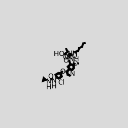 CCCCCCOP(=O)(NC(=O)c1cc2c(Oc3ccc(NC(=O)NC4CC4)c(Cl)c3)ccnc2cc1OC)NC(C)C(=O)O